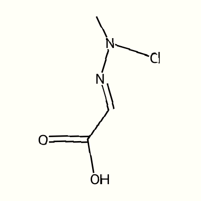 CN(Cl)N=CC(=O)O